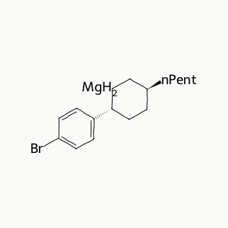 CCCCC[C@H]1CC[C@H](c2ccc(Br)cc2)CC1.[MgH2]